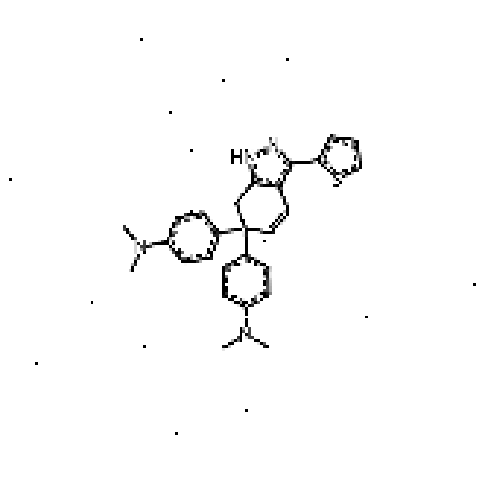 CN(C)c1ccc(C2(c3ccc(N(C)C)cc3)C=Cc3c(-c4cccs4)n[nH]c3C2)cc1